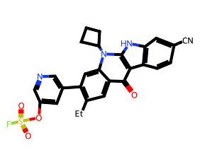 CCc1cc2c(=O)c3c4ccc(C#N)cc4[nH]c3n(C3CCC3)c2cc1-c1cncc(OS(=O)(=O)F)c1